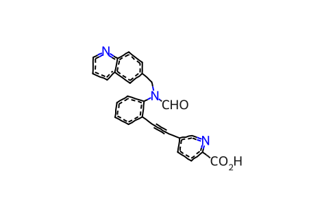 O=CN(Cc1ccc2ncccc2c1)c1ccccc1C#Cc1ccc(C(=O)O)nc1